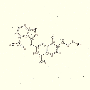 CC(NC(=O)Cn1cnc2cccc([N+](=O)[O-])c21)c1cnc(OCCF)c(Cl)c1